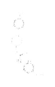 O=C(Nc1ccc(O)cn1)OC1CCN(c2ccc(Cl)cc2)CC1